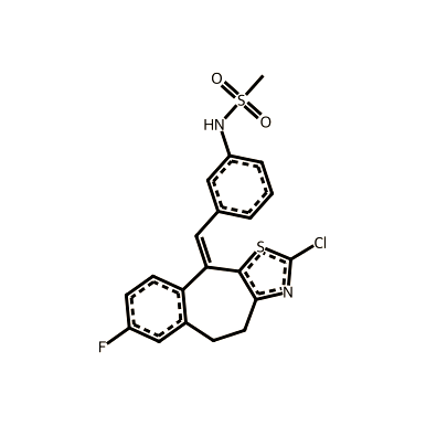 CS(=O)(=O)Nc1cccc(/C=C2/c3ccc(F)cc3CCc3nc(Cl)sc32)c1